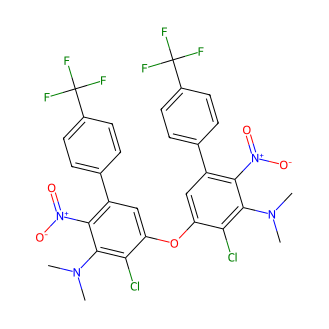 CN(C)c1c(Cl)c(Oc2cc(-c3ccc(C(F)(F)F)cc3)c([N+](=O)[O-])c(N(C)C)c2Cl)cc(-c2ccc(C(F)(F)F)cc2)c1[N+](=O)[O-]